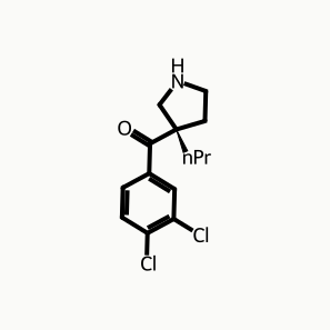 CCC[C@]1(C(=O)c2ccc(Cl)c(Cl)c2)CCNC1